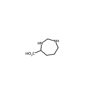 O=C(O)C1CCCNCN1